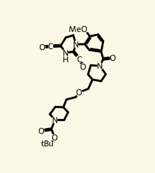 COc1ccc(C(=O)N2CCC(COCCC3CCN(C(=O)OC(C)(C)C)CC3)CC2)cc1N1CCC(=C=O)NC1=C=O